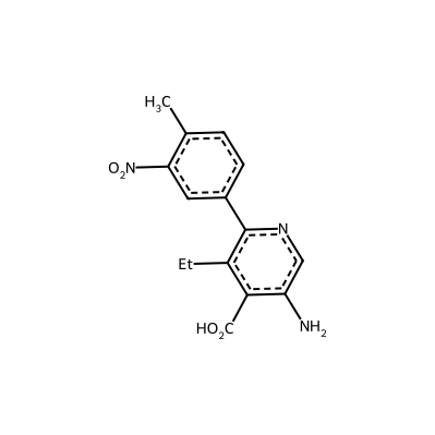 CCc1c(-c2ccc(C)c([N+](=O)[O-])c2)ncc(N)c1C(=O)O